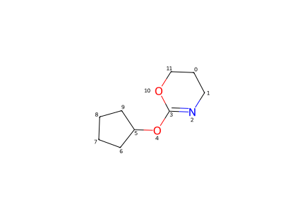 C1CN=C(OC2CCCC2)OC1